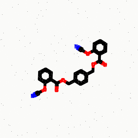 N#COc1ccccc1C(=O)OCc1ccc(COC(=O)c2ccccc2OC#N)cc1